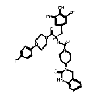 O=C(N[C@H](Cc1cc(Br)c(O)c(Br)c1)C(=O)N1CCN(c2ccc(F)cc2)CC1)N1CCC(N2Cc3ccccc3NC2=O)CC1